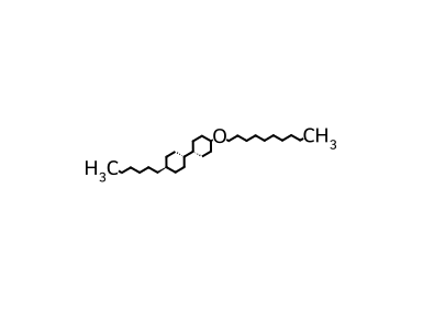 CCCCCCCCCCO[C@H]1CC[C@H]([C@H]2CC[C@H](CCCCCC)CC2)CC1